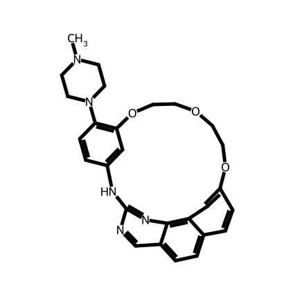 CN1CCN(c2ccc3cc2OCCOCCOc2ccc4ccc5cnc(nc5c4c2)N3)CC1